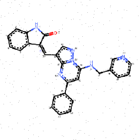 O=C1Nc2ccccc2/C1=C/c1cnn2c(NCc3cccnc3)cc(-c3ccccc3)nc12